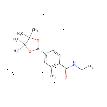 Cc1cc(B2OC(C)(C)C(C)(C)O2)ccc1C(=O)NCC(F)(F)F